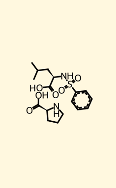 CC(C)C[C@@H](NS(=O)(=O)c1ccccc1)C(=O)O.O=C(O)[C@@H]1CCCN1